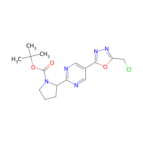 CC(C)(C)OC(=O)N1CCCC1c1ncc(-c2nnc(CCl)o2)cn1